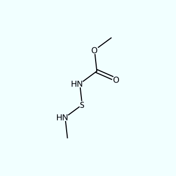 CNSNC(=O)OC